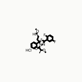 CONCCC1(c2ccccc2)SC(c2cc(F)ccc2F)=NN1C(=O)[C@H](C)OC.Cl